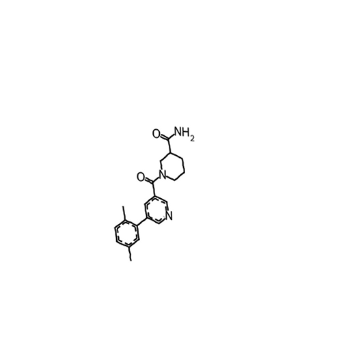 Cc1ccc(C)c(-c2cncc(C(=O)N3CCCC(C(N)=O)C3)c2)c1